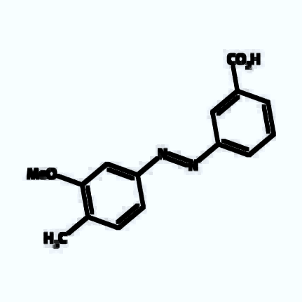 COc1cc(N=Nc2cccc(C(=O)O)c2)ccc1C